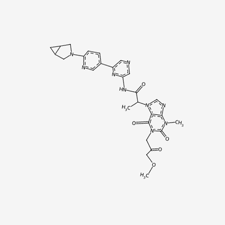 COCC(=O)Cn1c(=O)c2c(ncn2C(C)C(=O)Nc2cncc(-c3ccc(N4CC5CC5C4)nc3)n2)n(C)c1=O